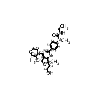 CCNC(=O)N(C)c1ccc(-c2nc(N3CCOC[C@@H]3C)c3c(n2)[C@@](C)(CCO)OC3)cc1